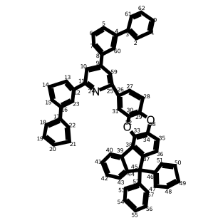 c1ccc(-c2cccc(-c3cc(-c4cccc(-c5ccccc5)c4)nc(-c4ccc5c(c4)Oc4c(ccc6c4-c4ccccc4C6(c4ccccc4)c4ccccc4)O5)c3)c2)cc1